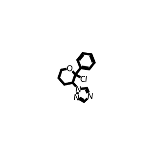 ClC1(c2ccccc2)OCCCC1n1cncn1